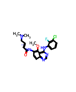 COc1c(NC(=O)/C=C/CN(C)C)ccc2ncnc(Nc3cccc(Cl)c3F)c12